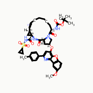 COc1ccc2oc3c(O[C@@H]4C[C@H]5C(=O)N[C@]6(C(=O)NS(=O)(=O)C7CC7)C[C@H]6/C=C\CCCCC[C@H](NC(=O)OC(C)(C)C)C(=O)N5C4)cc(-c4ccc(C)cc4)nc3c2c1